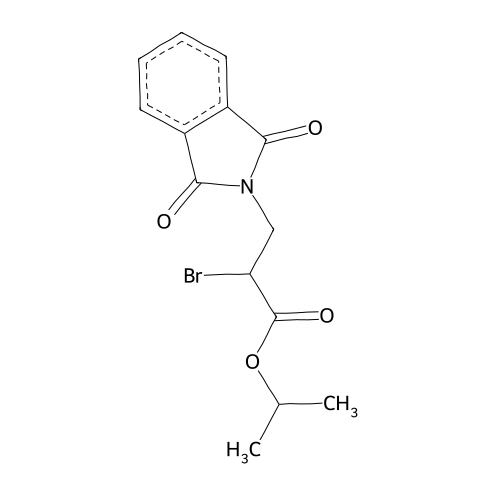 CC(C)OC(=O)C(Br)CN1C(=O)c2ccccc2C1=O